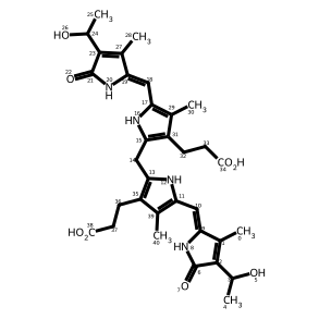 CC1=C(C(C)O)C(=O)N/C1=C\c1[nH]c(Cc2[nH]c(/C=C3\NC(=O)C(C(C)O)=C3C)c(C)c2CCC(=O)O)c(CCC(=O)O)c1C